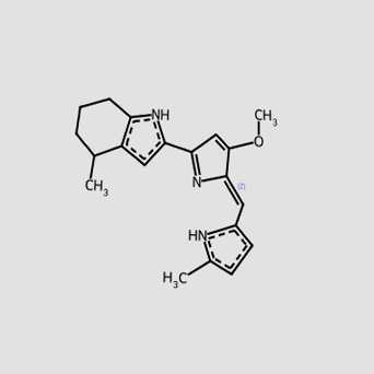 COC1=CC(c2cc3c([nH]2)CCCC3C)=N/C1=C\c1ccc(C)[nH]1